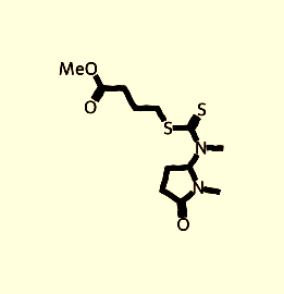 COC(=O)CCCSC(=S)N(C)C1CCC(=O)N1C